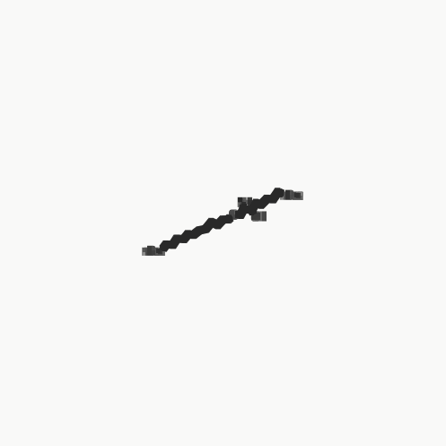 CCCCCCCCCCCCCCCCCCCCCCOCC(N)C(O)CCCCCCCCCCCCCCC